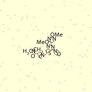 COc1ncc(-c2nc(N3CCOCC3)c3sc(CN4CCC(C(=O)N(C)C)CC4)cc3n2)c(OC)n1